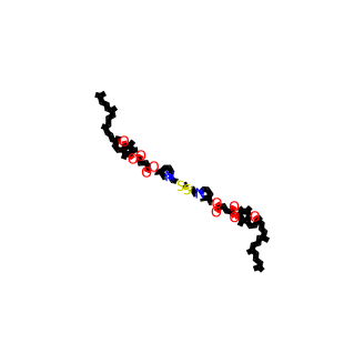 Cc1c(C)c2c(c(C)c1OC(=O)CCC(=O)OCC1CCCN(CCSCSCCN3CCCC(COC(=O)CCC(=O)Oc4c(C)c(C)c5c(c4C)CCC(C)(CCCC(C)CCCC(C)CCCC(C)C)O5)C3)C1)CCC(C)(CCCC(C)CCCC(C)CCCC(C)C)O2